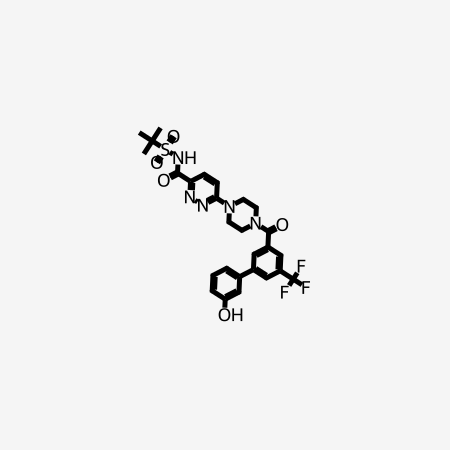 CC(C)(C)S(=O)(=O)NC(=O)c1ccc(N2CCN(C(=O)c3cc(-c4cccc(O)c4)cc(C(F)(F)F)c3)CC2)nn1